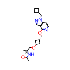 CC(=O)N[C@@H](C)CO[C@H]1C[C@H](COc2nccc3c2cnn3CC2CCC2)C1